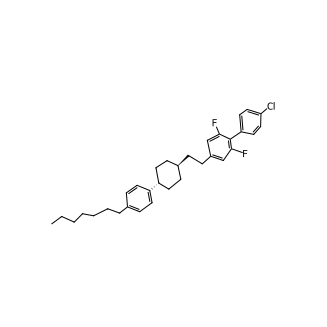 CCCCCCCc1ccc([C@H]2CC[C@H](CCc3cc(F)c(-c4ccc(Cl)cc4)c(F)c3)CC2)cc1